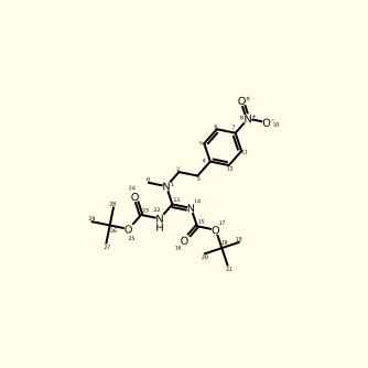 CN(CCc1ccc([N+](=O)[O-])cc1)C(=NC(=O)OC(C)(C)C)NC(=O)OC(C)(C)C